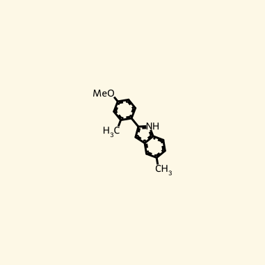 COc1ccc(-c2cc3cc(C)ccc3[nH]2)c(C)c1